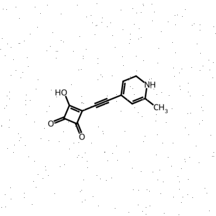 CC1=CC(C#Cc2c(O)c(=O)c2=O)=CCN1